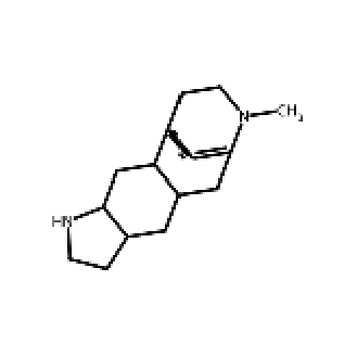 CN1CCC23C=CC=CC2=C1CC1CC2CCNC2CC13